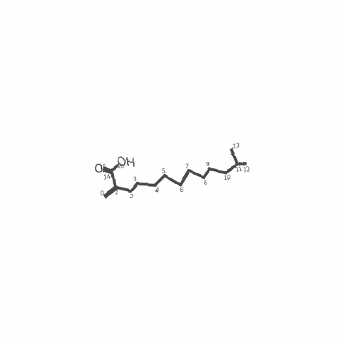 C=C(CCCCCCCCCC(C)C)C(=O)O